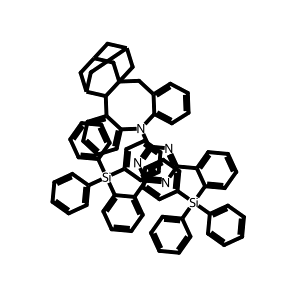 c1ccc([Si](c2ccccc2)(c2ccccc2)c2ccccc2-c2nc(-c3ccccc3[Si](c3ccccc3)(c3ccccc3)c3ccccc3)nc(N3c4ccccc4CC45CC6CC(CC(C6)C4c4ccccc43)C5)n2)cc1